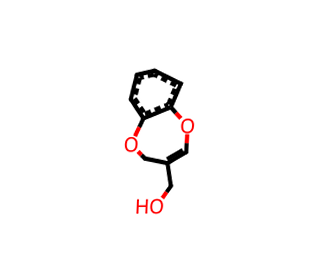 OCC1=COc2ccccc2OC1